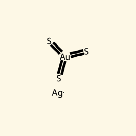 [Ag].[S]=[Au](=[S])=[S]